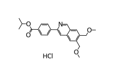 COCc1cc2cnc(-c3ccc(C(=O)OC(C)C)cc3)cc2cc1COC.Cl